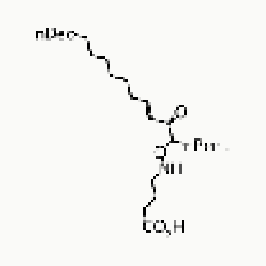 CCCCCCCCCCCCCCCCC=CC(=O)C(CCCCC)ONCCCC(=O)O